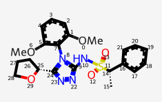 COc1cccc(OC)c1-n1c(NS(=O)(=O)[C@@H](C)c2ccccc2)nnc1[C@H]1CCCO1